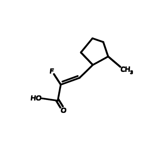 CC1CCCC1C=C(F)C(=O)O